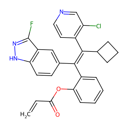 C=CC(=O)Oc1ccccc1/C(=C(/c1ccncc1Cl)C1CCC1)c1ccc2[nH]nc(F)c2c1